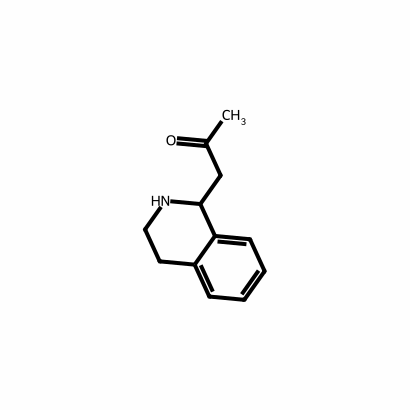 CC(=O)CC1NCCc2ccccc21